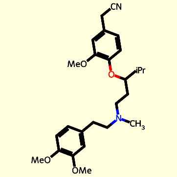 COc1ccc(CCN(C)CCC(Oc2ccc(CC#N)cc2OC)C(C)C)cc1OC